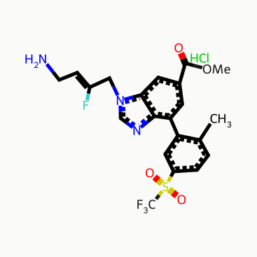 COC(=O)c1cc(-c2cc(S(=O)(=O)C(F)(F)F)ccc2C)c2ncn(C/C(F)=C/CN)c2c1.Cl